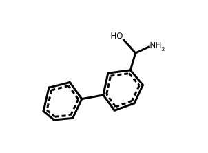 NC(O)c1cccc(-c2ccccc2)c1